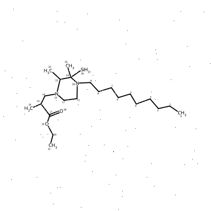 CCCCCCCCCCN1CCN(CC(C)C(=O)OCC)C(C)C1(C)[SiH3]